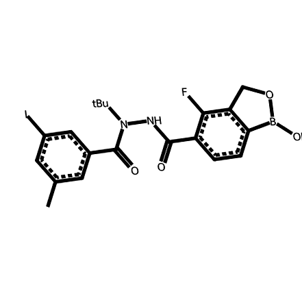 Cc1cc(I)cc(C(=O)N(NC(=O)c2ccc3c(c2F)COB3O)C(C)(C)C)c1